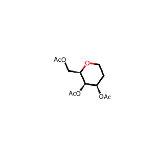 CC(=O)OC[C@H]1OCC[C@@H](OC(C)=O)[C@H]1OC(C)=O